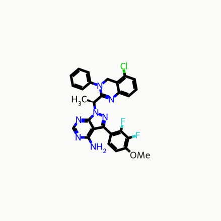 COc1ccc(-c2nn([C@@H](C)C3=Nc4cccc(Cl)c4CN3c3ccccc3)c3ncnc(N)c23)c(F)c1F